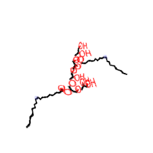 CCCCCCCC/C=C\CCCCCCCC(=O)OC(COCC(O)CO)COCC(O)COCC(COCC(O)CO)OC(=O)CCCCCCC/C=C\CCCCCCCC